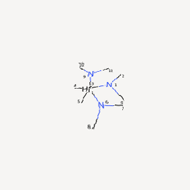 C[N](C)[Hf]([CH3])([CH3])([N](C)C)[N](C)C